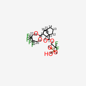 O=C(OCC(F)(F)S(=O)(=O)O)C12CCCC(=CC(C3OCC(F)(F)C(F)(F)CO3)C1)C2